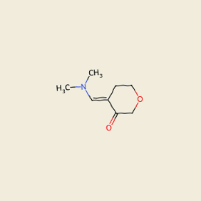 CN(C)C=C1CCOCC1=O